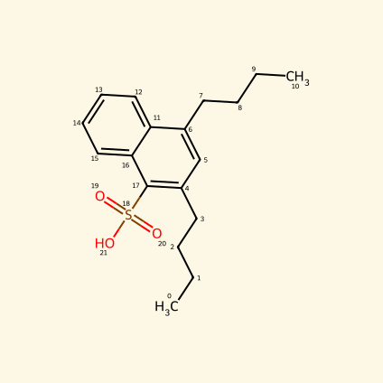 CCCCc1cc(CCCC)c2ccccc2c1S(=O)(=O)O